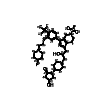 CS(=O)(=O)N1CCc2c(c(-c3ccc(C(F)(F)F)c(SCCN4CCC(F)CC4)c3)nn2CC(O)CN2CCC(N3CC(O)CC3=O)CC2)C1